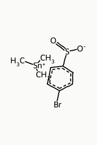 O=S([O-])c1ccc(Br)cc1.[CH3][Sn+]([CH3])[CH3]